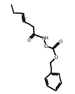 CC/C=C/CC(=O)NOC(=O)OCc1ccccc1